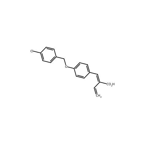 C=CC(=Cc1ccc(OCc2ccc(Cl)cc2)cc1)C(=O)O